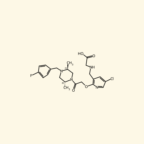 C[C@@H]1CN(Cc2ccc(F)cc2)[C@@H](C)CN1C(=O)COc1ncc(Cl)cc1CNCC(=O)O